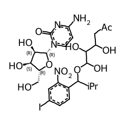 CC(=O)CC(O)C(O)C(O)OC(c1ccc(I)cc1[N+](=O)[O-])C(C)C.Nc1ccn([C@@H]2O[C@H](CO)[C@@H](O)[C@H]2O)c(=O)n1